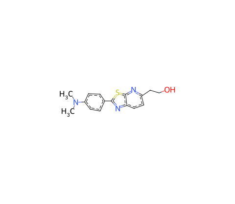 CN(C)c1ccc(-c2nc3ccc(CCO)nc3s2)cc1